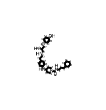 O=C(NCCCC1CCCCC1)N1CCC(Nc2ccc(CCNC[C@H](O)COc3ccc(O)cc3)cc2)CC1